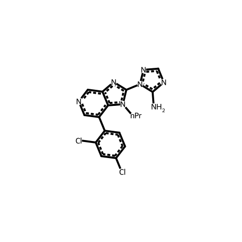 CCCn1c(-n2ncnc2N)nc2cncc(-c3ccc(Cl)cc3Cl)c21